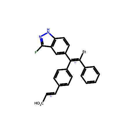 CC/C(=C(/c1ccc(/C=C/C(=O)O)cc1)c1ccc2[nH]nc(F)c2c1)c1ccccc1